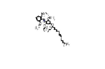 CCCCCCCCCCCCC(=O)Oc1cc(OC)c(/N=N/c2c(OC)cccc2OC)c(OC)c1